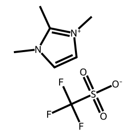 Cc1n(C)cc[n+]1C.O=S(=O)([O-])C(F)(F)F